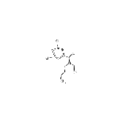 C=CCON(CC#N)C(=O)c1cc(Cl)cc(Cl)c1